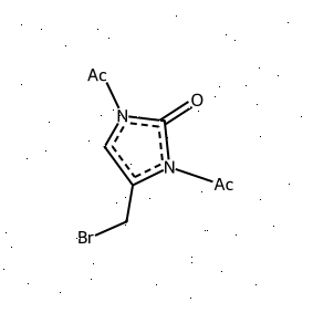 CC(=O)n1cc(CBr)n(C(C)=O)c1=O